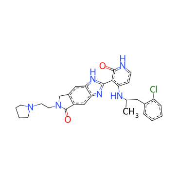 CC(Cc1ccccc1Cl)Nc1cc[nH]c(=O)c1-c1nc2cc3c(cc2[nH]1)CN(CCN1CCCC1)C3=O